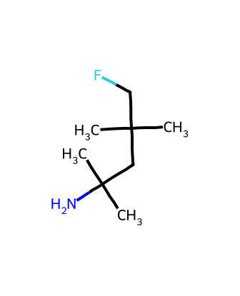 CC(C)(N)CC(C)(C)CF